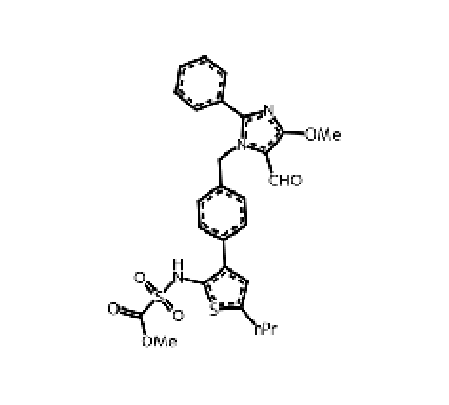 CCCc1cc(-c2ccc(Cn3c(-c4ccccc4)nc(OC)c3C=O)cc2)c(NS(=O)(=O)C(=O)OC)s1